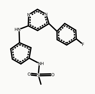 CS(=O)(=O)Nc1cccc(Nc2cc(-c3ccc(F)cc3)ncn2)c1